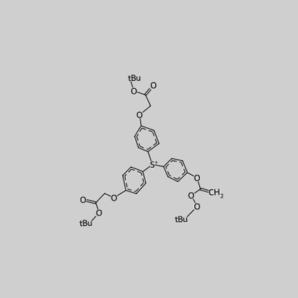 C=C(OOC(C)(C)C)Oc1ccc([S+](c2ccc(OCC(=O)OC(C)(C)C)cc2)c2ccc(OCC(=O)OC(C)(C)C)cc2)cc1